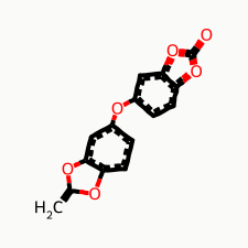 C=C1Oc2ccc(Oc3ccc4oc(=O)oc4c3)cc2O1